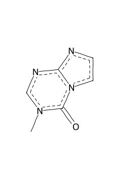 Cn1cnc2nccn2c1=O